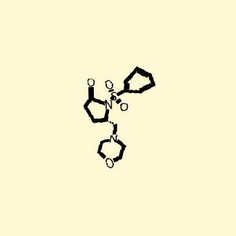 O=C1CC[C@@H](CN2CCOCC2)N1S(=O)(=O)c1ccccc1